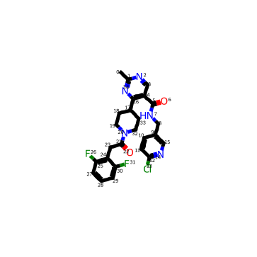 Cc1ncc(C(=O)NCc2ccc(Cl)nc2)c(C2CCN(C(=O)Cc3c(F)cccc3F)CC2)n1